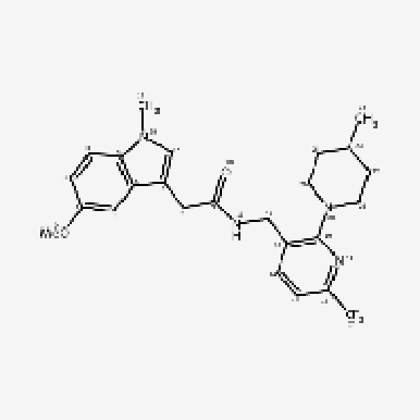 COc1ccc2c(c1)c(CC(=O)NCc1ccc(C(F)(F)F)nc1N1CCC(C)CC1)cn2C